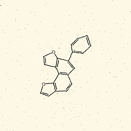 c1ccc(-c2cc3ccc4ccoc4c3c3ccoc23)cc1